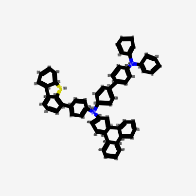 c1ccc(N(c2ccccc2)c2ccc(-c3ccc(N(c4ccc(-c5cccc6c5sc5ccccc56)cc4)c4ccc5c6ccccc6c6ccccc6c5c4)cc3)cc2)cc1